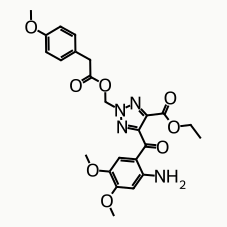 CCOC(=O)c1nn(COC(=O)Cc2ccc(OC)cc2)nc1C(=O)c1cc(OC)c(OC)cc1N